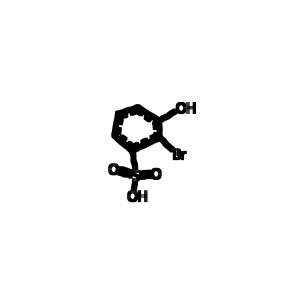 O=S(=O)(O)c1cccc(O)c1Br